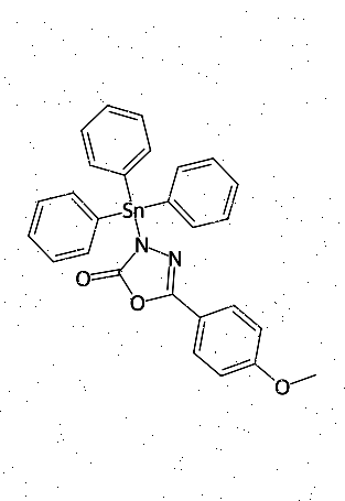 COc1ccc(-c2n[n]([Sn]([c]3ccccc3)([c]3ccccc3)[c]3ccccc3)c(=O)o2)cc1